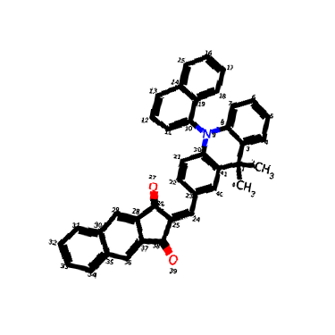 CC1(C)c2ccccc2N(c2cccc3ccccc23)c2ccc(C=C3C(=O)c4cc5ccccc5cc4C3=O)cc21